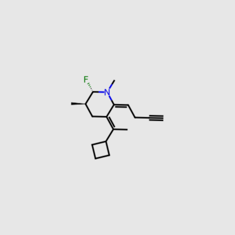 C#CC/C=C1\C(=C(/C)C2CCC2)C[C@@H](C)[C@H](F)N1C